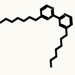 CCCCCCCc1ccnc(-c2cc(CCCCCCC)ccn2)c1